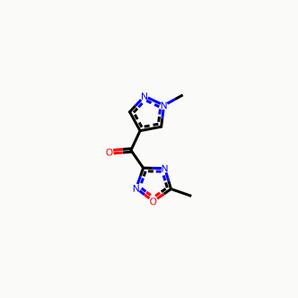 Cc1nc(C(=O)c2cnn(C)c2)no1